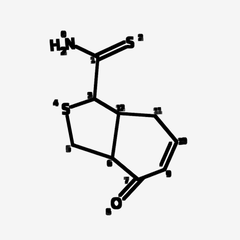 NC(=S)C1SCC2C(=O)C=CCC21